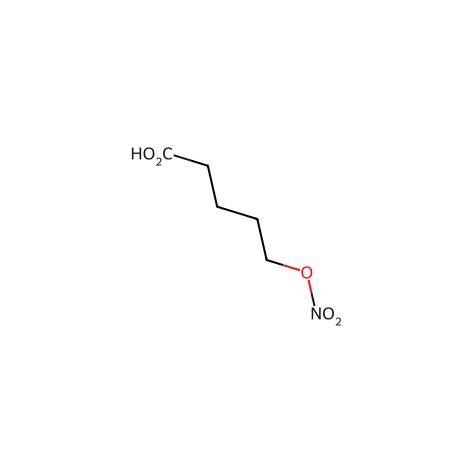 O=C(O)CCCCO[N+](=O)[O-]